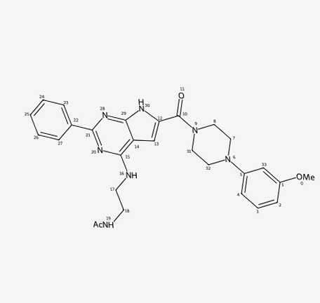 COc1cccc(N2CCN(C(=O)c3cc4c(NCCNC(C)=O)nc(-c5ccccc5)nc4[nH]3)CC2)c1